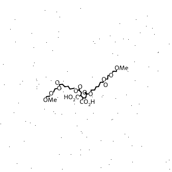 COCCOCCOC(=O)CCCCCOC(=O)CC(C(=O)O)C(CC(=O)OCCCCCC(=O)OCCOCCOC)C(=O)O